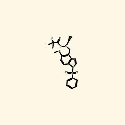 COc1ccc2c(ccn2S(=O)(=O)c2ccccc2)c1CN(OC(=O)C(F)(F)F)C1CC1